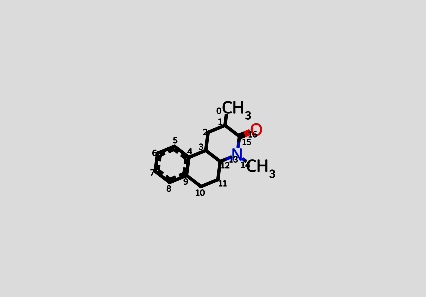 CC1CC2c3ccccc3CCC2N(C)C1=O